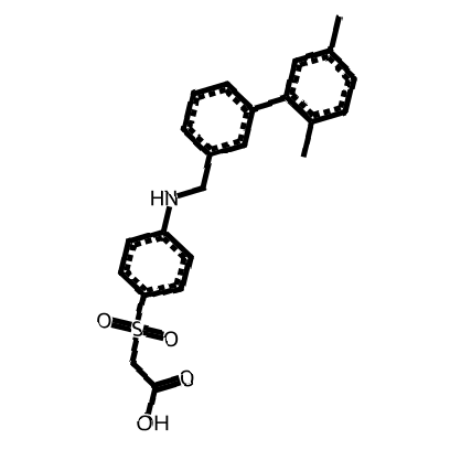 Cc1ccc(C)c(-c2cccc(CNc3ccc(S(=O)(=O)CC(=O)O)cc3)c2)c1